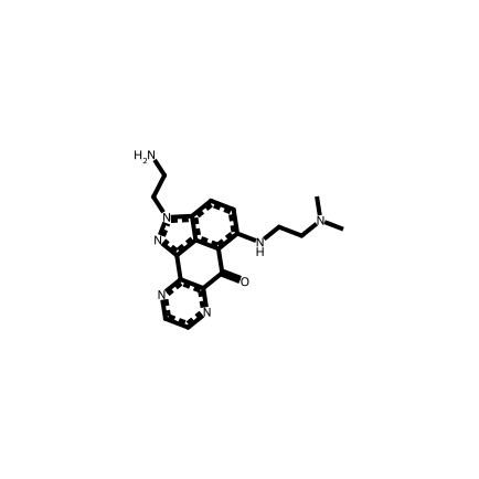 CN(C)CCNc1ccc2c3c(nn2CCN)-c2nccnc2C(=O)c13